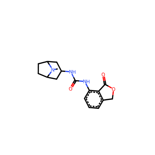 CN1C2CCC1CC(NC(=O)Nc1cccc3c1C(=O)OC3)C2